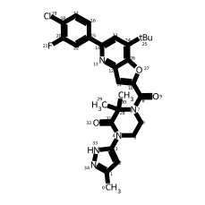 Cc1cc(N2CCN(C(=O)c3cc4nc(-c5ccc(Cl)c(F)c5)cc(C(C)(C)C)c4o3)C(C)(C)C2=O)[nH]n1